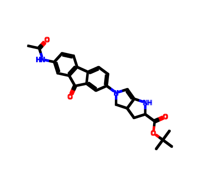 CC(=O)Nc1ccc2c(c1)C(=O)c1cc(N3C=C4NC(C(=O)OC(C)(C)C)CC4C3)ccc1-2